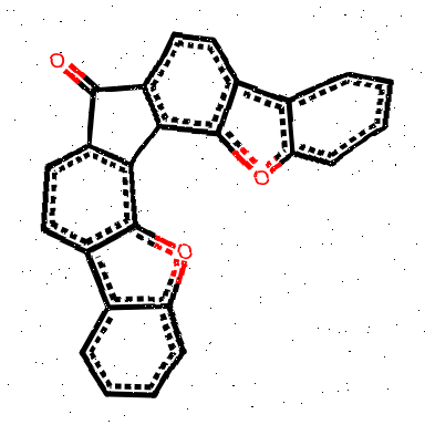 O=C1c2ccc3c(oc4ccccc43)c2-c2c1ccc1c2oc2ccccc21